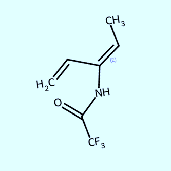 C=C/C(=C\C)NC(=O)C(F)(F)F